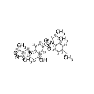 CCc1ccc(N(CC(C)C)S(=O)(=O)c2ccc3c(c2)C(O)CCN3Cc2c(C)noc2C)cc1